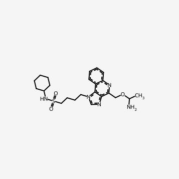 CC(N)OCc1nc2ccccc2c2c1ncn2CCCCS(=O)(=O)NC1CCCCC1